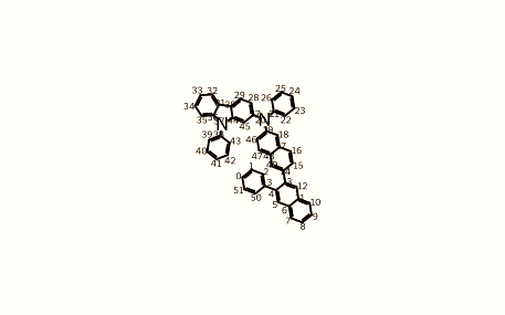 c1ccc(-c2cc3ccccc3cc2-c2ccc3cc(N(c4ccccc4)c4ccc5c6ccccc6n(-c6ccccc6)c5c4)ccc3c2)cc1